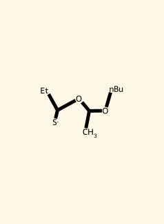 CCCCOC(C)OC([S])CC